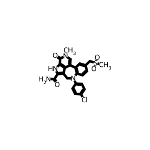 Cn1cc2c3c(c(C(N)=O)[nH]c3c1=O)CN(c1ccc(Cl)cc1)c1ccc(CS(C)(=O)=O)cc1-2